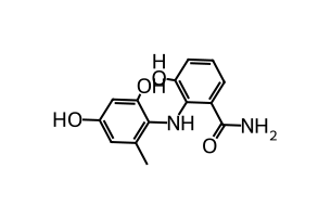 Cc1cc(O)cc(O)c1Nc1c(O)cccc1C(N)=O